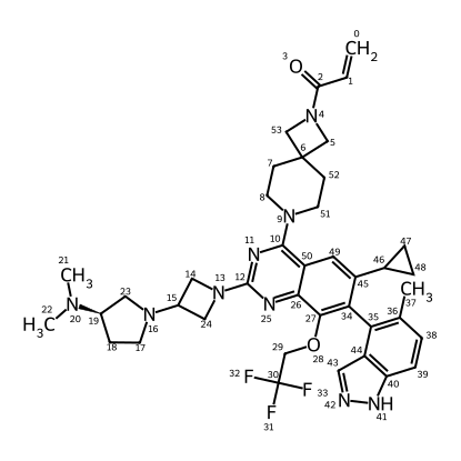 C=CC(=O)N1CC2(CCN(c3nc(N4CC(N5CC[C@@H](N(C)C)C5)C4)nc4c(OCC(F)(F)F)c(-c5c(C)ccc6[nH]ncc56)c(C5CC5)cc34)CC2)C1